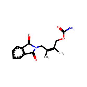 CC(COC(N)=O)=C(C)CN1C(=O)c2ccccc2C1=O